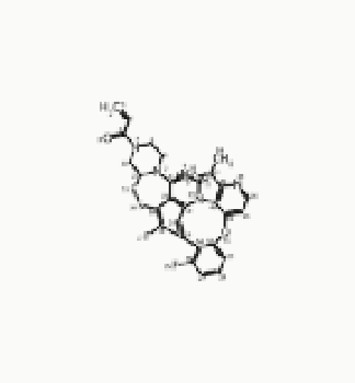 C=CC(=O)N1CCN2c3nc(=O)n4c5cc(c(F)c(c35)SSC2C1)c1c(F)cccc1oc1ccnc(C(C)C)c14